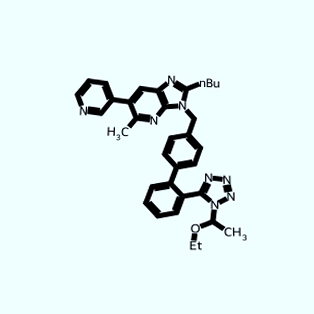 CCCCc1nc2cc(-c3cccnc3)c(C)nc2n1Cc1ccc(-c2ccccc2-c2nnnn2C(C)OCC)cc1